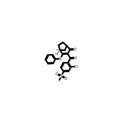 CS(=O)(=O)c1ccc(C(=O)C2=C(Sc3ccccc3)[C@H]3CCC(C3)C2=O)c(Cl)c1